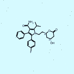 CC(C)c1c(C(N)=O)c(-c2ccccc2)c(-c2ccc(F)cc2)n1CC[C@@H]1C[C@@H](O)CC(=O)O1